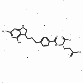 Nc1nc(S)c2c(n1)NCC2CCCc1ccc(C(=O)N[C@@H](CCC(=O)O)C(=O)O)cc1